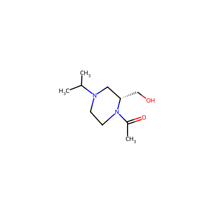 CC(=O)N1CCN(C(C)C)C[C@@H]1CO